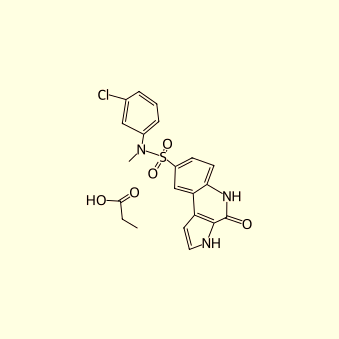 CCC(=O)O.CN(c1cccc(Cl)c1)S(=O)(=O)c1ccc2[nH]c(=O)c3[nH]ccc3c2c1